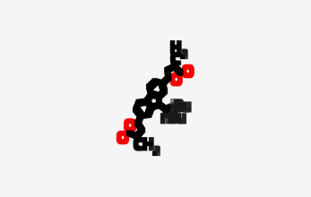 C=C1CC(c2ccc3c(c2)C(C(CCCC)C(C)CC)c2cc(C4CC(=C)C(=O)O4)ccc2-3)OC1=O